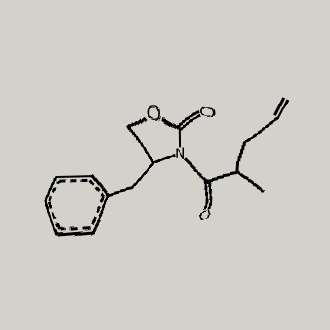 C=CCC(C)C(=O)N1C(=O)OCC1Cc1ccccc1